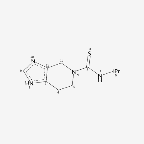 CC(C)NC(=S)N1CCc2[nH]cnc2C1